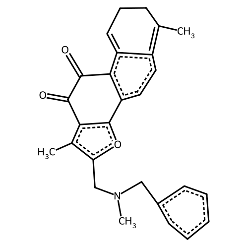 CC1=c2ccc3c(c2=CCC1)C(=O)C(=O)c1c-3oc(CN(C)Cc2ccccc2)c1C